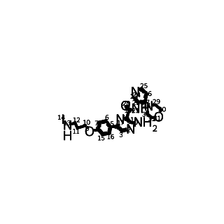 Nc1ncc(-c2ccc(OCCCNI)cc2)nc1C(=O)Nc1cnccc1N1CCOCC1